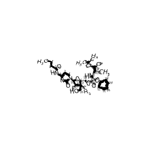 CCCC(=O)Nc1ccn(C2O[C@H](COP(=O)(N[C@@H](C)C(=O)OC(C)C)Oc3ccccc3)C(C)(CO)[C@H]2F)c(=O)n1